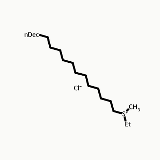 CCCCCCCCCCCCCCCCCCCCCC[S+](C)CC.[Cl-]